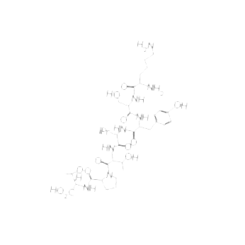 CC(C)C(NC(=O)C(Cc1ccc(O)cc1)NC(=O)C(CO)NC(=O)C(N)CCCCN)C(=O)NC(C(=O)N1CCCC1C(=O)NC(C(=O)O)C(C)O)C(C)O